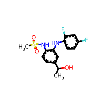 CC(O)c1ccc(NS(C)(=O)=O)c(Nc2ccc(F)cc2F)c1